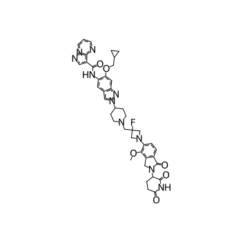 COc1c(N2CC(F)(CN3CCC(n4cc5cc(NC(=O)c6cnn7cccnc67)c(OCC6CC6)cc5n4)CC3)C2)ccc2c1CN(C1CCC(=O)NC1=O)C2=O